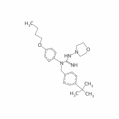 CCCCOc1ccc(N(Cc2ccc(C(C)(C)C)cc2)C(=N)NN2CCOCC2)cc1